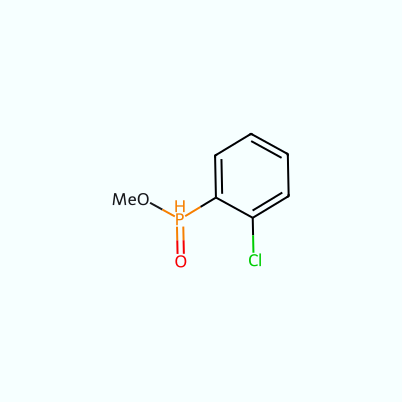 CO[PH](=O)c1ccccc1Cl